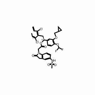 C=C/C(Cl)=C(C[C@H](OC(=O)CN1C(=O)Cc2cc(NS(C)(=O)=O)ccc21)c1ccc(OC(F)F)c(OCC2CC2)c1)\C(Cl)=C/C